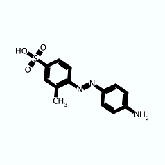 Cc1cc(S(=O)(=O)O)ccc1N=Nc1ccc(N)cc1